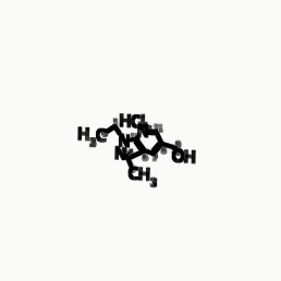 CCn1nc(C)c2cc(CO)cnc21.Cl